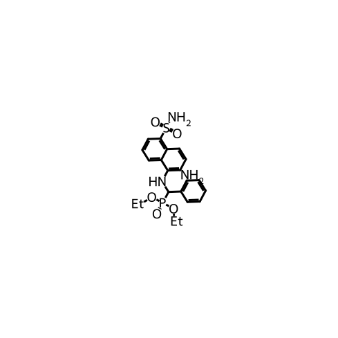 CCOP(=O)(OCC)C(Nc1c(N)ccc2c(S(N)(=O)=O)cccc12)c1ccccc1